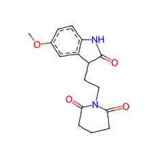 COc1ccc2c(c1)C(CCN1C(=O)CCCC1=O)C(=O)N2